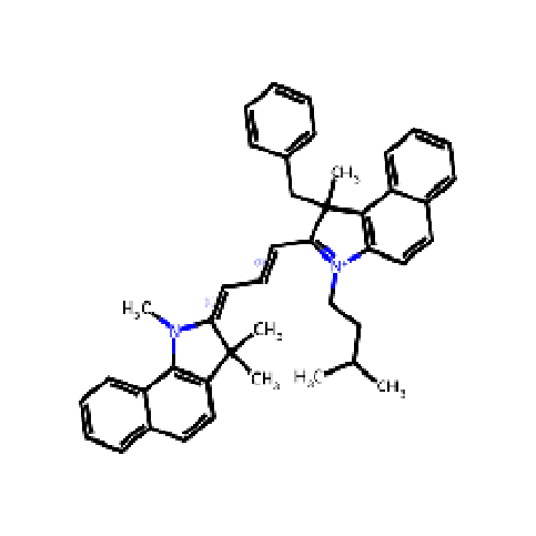 CC(C)CC[N+]1=C(/C=C/C=C2/N(C)c3c(ccc4ccccc34)C2(C)C)C(C)(Cc2ccccc2)c2c1ccc1ccccc21